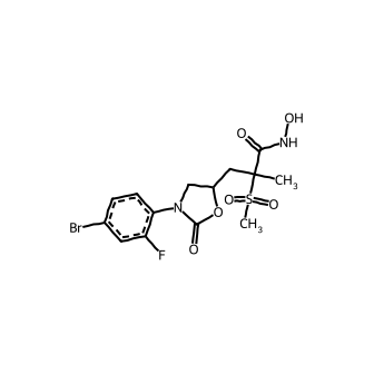 CC(CC1CN(c2ccc(Br)cc2F)C(=O)O1)(C(=O)NO)S(C)(=O)=O